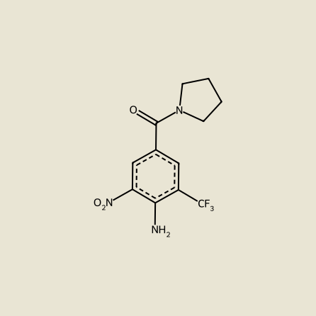 Nc1c([N+](=O)[O-])cc(C(=O)N2CCCC2)cc1C(F)(F)F